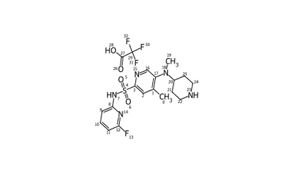 Cc1cc(S(=O)(=O)Nc2cccc(F)n2)ncc1N(C)C1CCNCC1.O=C(O)C(F)(F)F